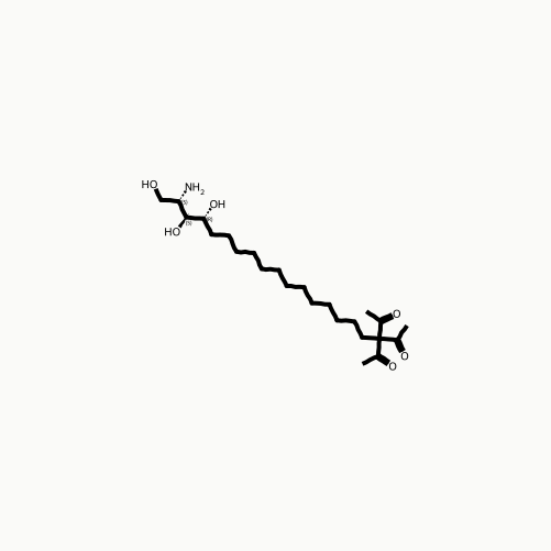 CC(=O)C(CCCCCCCCCCCCC[C@@H](O)[C@@H](O)[C@@H](N)CO)(C(C)=O)C(C)=O